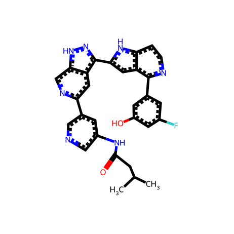 CC(C)CC(=O)Nc1cncc(-c2cc3c(-c4cc5c(-c6cc(O)cc(F)c6)nccc5[nH]4)n[nH]c3cn2)c1